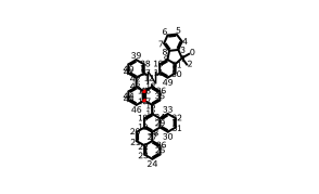 CC1(C)c2ccccc2-c2cc(N(c3ccc(-c4cc5ccc6ccccc6c5c5ccccc45)cc3)c3ccccc3-c3ccccc3)ccc21